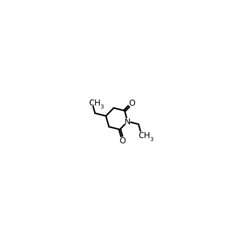 CCC1CC(=O)N(CC)C(=O)C1